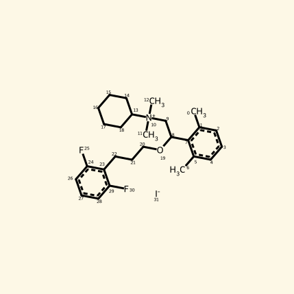 Cc1cccc(C)c1C(C[N+](C)(C)C1CCCCC1)OCCCc1c(F)cccc1F.[I-]